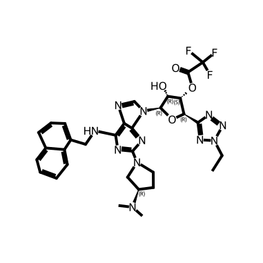 CCn1nnc([C@H]2O[C@@H](n3cnc4c(NCc5cccc6ccccc56)nc(N5CC[C@@H](N(C)C)C5)nc43)[C@H](O)[C@@H]2OC(=O)C(F)(F)F)n1